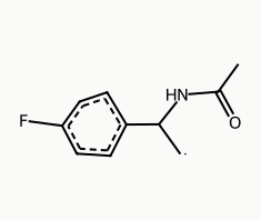 [CH2]C(NC(C)=O)c1ccc(F)cc1